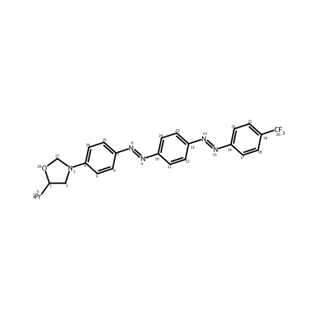 CC(C)C1CN(c2ccc(N=Nc3ccc(N=Nc4ccc(C(F)(F)F)cc4)cc3)cc2)CO1